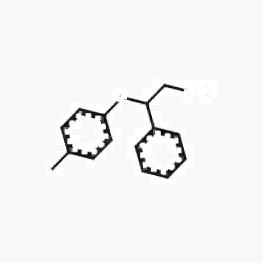 Cc1ccc(SC(CC=O)c2ccccc2)cc1